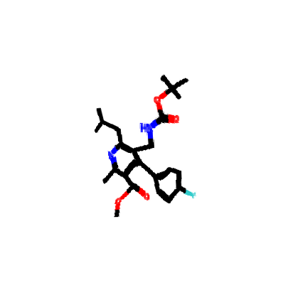 COC(=O)c1c(C)nc(CC(C)C)c(CNC(=O)OC(C)(C)C)c1-c1ccc(F)cc1